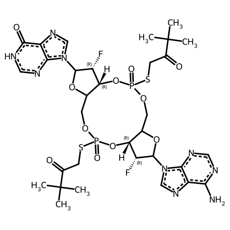 CC(C)(C)C(=O)CSP1(=O)OCC2OC(n3cnc4c(=O)[nH]cnc43)[C@H](F)[C@@H]2OP(=O)(SCC(=O)C(C)(C)C)OCC2OC(n3cnc4c(N)ncnc43)[C@H](F)[C@@H]2O1